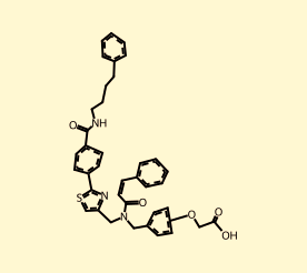 O=C(O)COc1ccc(CN(Cc2csc(-c3ccc(C(=O)NCCCCc4ccccc4)cc3)n2)C(=O)C=Cc2ccccc2)cc1